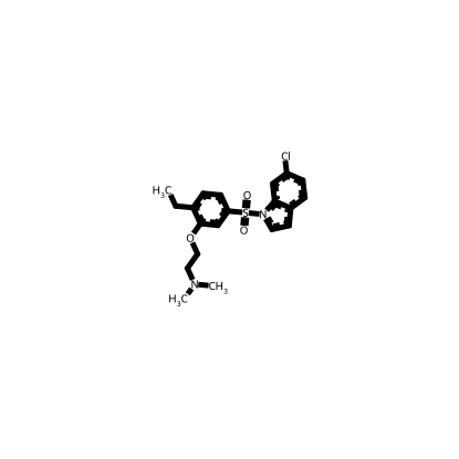 CCc1ccc(S(=O)(=O)n2ccc3ccc(Cl)cc32)cc1OCCN(C)C